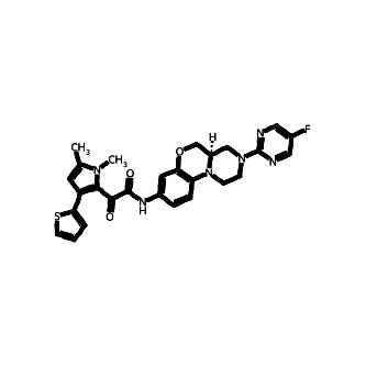 Cc1cc(-c2cccs2)c(C(=O)C(=O)Nc2ccc3c(c2)OC[C@H]2CN(c4ncc(F)cn4)CCN32)n1C